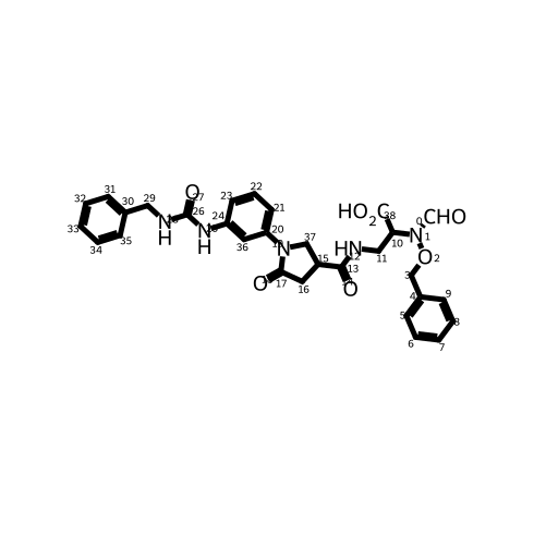 O=CN(OCc1ccccc1)C(CNC(=O)C1CC(=O)N(c2cccc(NC(=O)NCc3ccccc3)c2)C1)C(=O)O